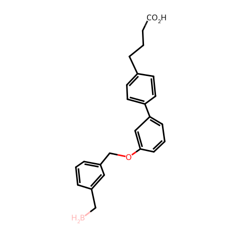 BCc1cccc(COc2cccc(-c3ccc(CCCC(=O)O)cc3)c2)c1